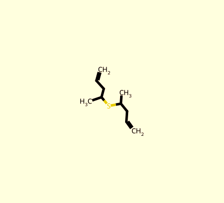 C=CCC(C)SC(C)CC=C